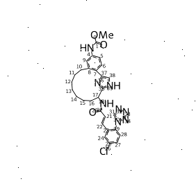 COC(=O)Nc1ccc2c(c1)CCCCCCCC(NC(=O)C=Cc1cc(Cl)ccc1-n1cnnn1)c1nc-2c[nH]1